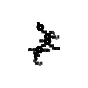 COc1cc(S(=O)(=O)CCOS(=O)(=O)O)c(OC)cc1N=Nc1c(SOOO)cc2c(S(=O)(=O)O)c(N)c(N=Nc3ccc(C)cc3)cc2c1O